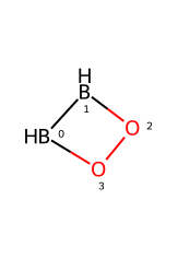 B1BOO1